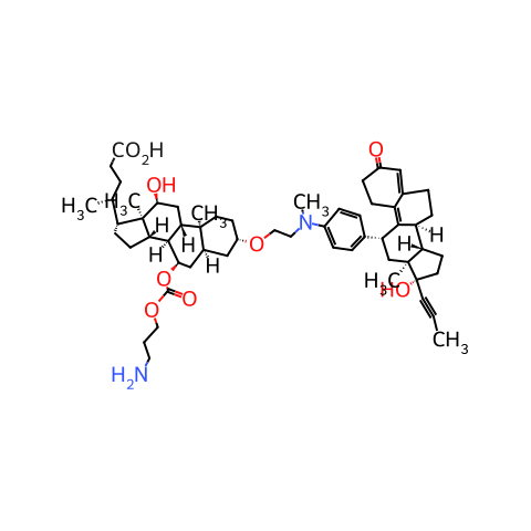 CC#C[C@]1(O)CC[C@H]2[C@@H]3CCC4=CC(=O)CCC4=C3[C@@H](c3ccc(N(C)CCO[C@H]4CC[C@@]5(C)[C@@H](C4)C[C@@H](OC(=O)OCCCN)[C@@H]4[C@@H]5C[C@H](O)[C@]5(C)[C@@H]([C@H](C)CCC(=O)O)CC[C@@H]45)cc3)C[C@@]21C